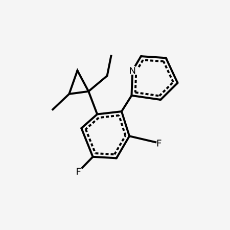 CCC1(c2cc(F)cc(F)c2-c2ccccn2)CC1C